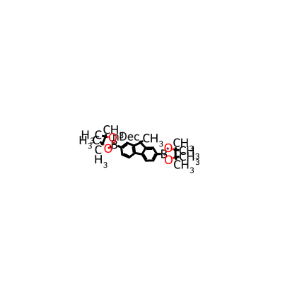 CCCCCCCCCCC1(C)c2cc(B3OC(C)(C)C(C)(C)O3)ccc2-c2ccc(B3OC(C)(C)C(C)(C)O3)cc21